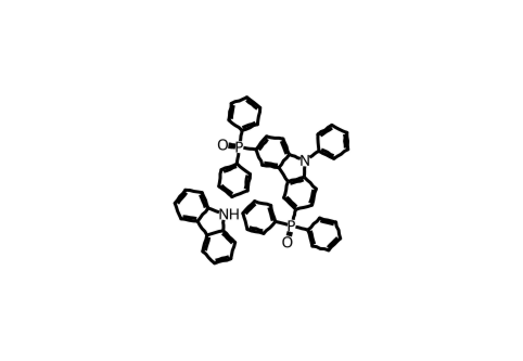 O=P(c1ccccc1)(c1ccccc1)c1ccc2c(c1)c1cc(P(=O)(c3ccccc3)c3ccccc3)ccc1n2-c1ccccc1.c1ccc2c(c1)[nH]c1ccccc12